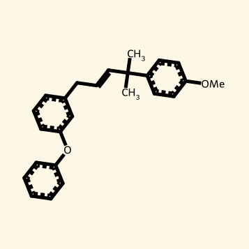 COc1ccc(C(C)(C)C=CCc2cccc(Oc3ccccc3)c2)cc1